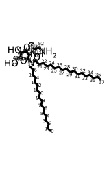 CCCCCCCCCCCCCCCCCCN(C(=O)CCCCCCCCCCCCCCCCC)[C@@H]1O[C@H](CO)[C@@H](O)[C@H](O)[C@H]1NC(=O)[C@H](C)N